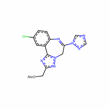 COCc1nc2n(n1)CC(n1cncn1)=Nc1ccc(Cl)cc1-2